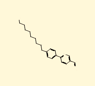 CCCCCCCCCCc1ccc(-c2ccc(C=O)cn2)cc1